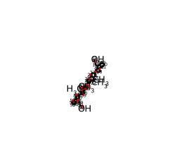 CC1(C)c2cc(-c3ccc4c(c3)C(CCCO)c3ccccc3-4)ccc2-c2ccc(-c3ccc4c(c3)C(C)(C)c3cc(-c5ccc6c(c5)C(CCCO)c5ccccc5-6)ccc3-4)cc21